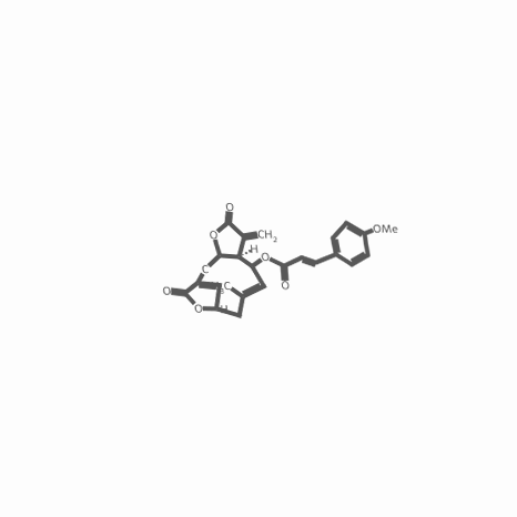 C=C1C(=O)OC2CC3=C[C@@H](C/C(C)=C/C(OC(=O)/C=C/c4ccc(OC)cc4)[C@H]12)OC3=O